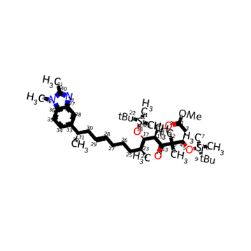 COC(=O)C[C@H](O[Si](C)(C)C(C)(C)C)C(C)(C)C(=O)[C@H](C)[C@@H](O[Si](C)(C)C(C)(C)C)[C@@H](C)CCC/C=C/C[C@H](C)c1ccc2c(c1)nc(C)n2C